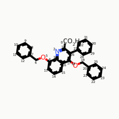 O=C(O)c1nc2c(OCc3ccccc3)cccc2c(OCc2ccccc2)c1-c1ccccc1